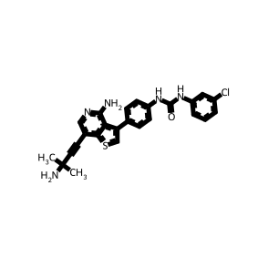 CC(C)(N)C#Cc1cnc(N)c2c(-c3ccc(NC(=O)Nc4cccc(Cl)c4)cc3)csc12